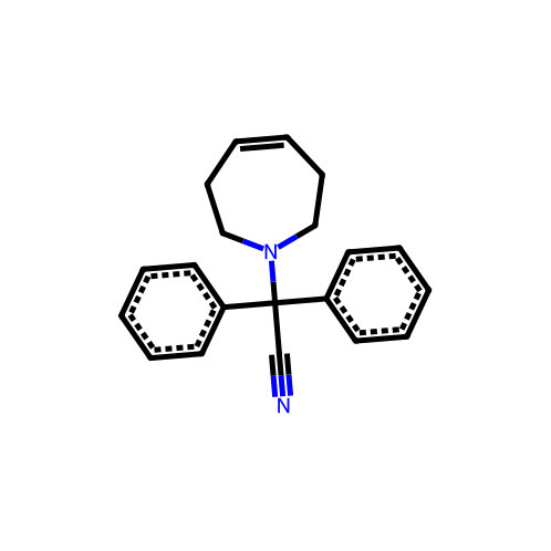 N#CC(c1ccccc1)(c1ccccc1)N1CCC=CCC1